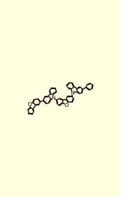 c1ccc(-c2ccc3c(c2)c2ccccc2n3-c2ccc3oc4ccc(-n5c6ccccc6c6cc(-c7ccc8oc9ccccc9c8c7)ccc65)cc4c3c2)cc1